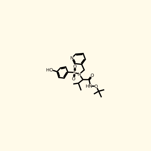 CC(C)C(C(=O)NOC(C)(C)C)N(Cc1cccnc1)S(=O)(=O)c1ccc(O)cc1